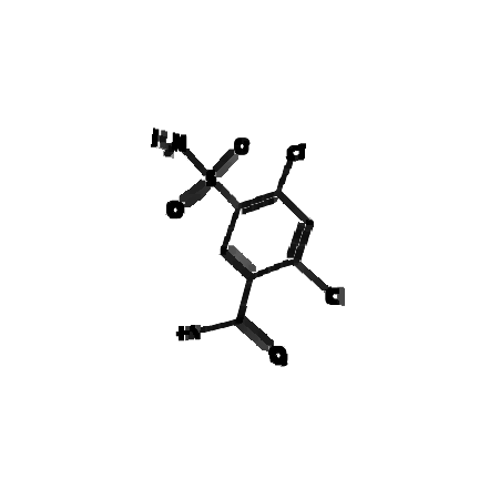 [NH]C(=O)c1cc(S(N)(=O)=O)c(Cl)cc1Cl